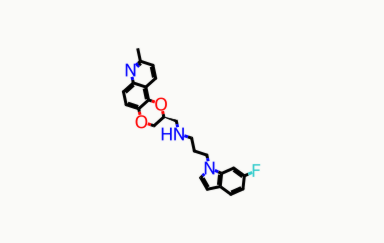 Cc1ccc2c3c(ccc2n1)OC[C@H](CNCCCn1ccc2ccc(F)cc21)O3